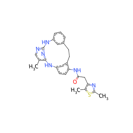 Cc1nc(CC(=O)Nc2ccc3cc2CCc2cccc(c2)Nc2ncc(C)c(n2)N3)c(C)s1